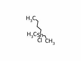 CCC[CH2][Sn]([CH3])([Cl])[CH2]C